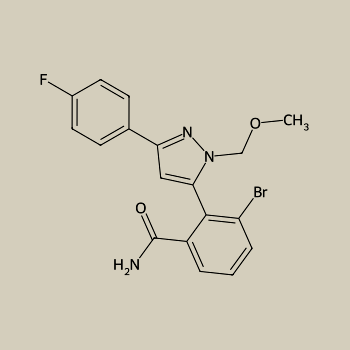 COCn1nc(-c2ccc(F)cc2)cc1-c1c(Br)cccc1C(N)=O